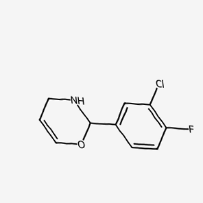 Fc1ccc(C2NCC=CO2)cc1Cl